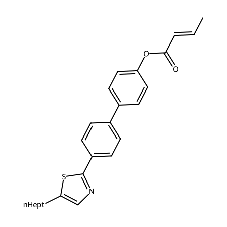 CC=CC(=O)Oc1ccc(-c2ccc(-c3ncc(CCCCCCC)s3)cc2)cc1